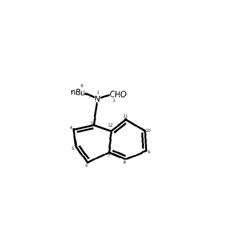 CCCCN([C]=O)c1cccc2ccccc12